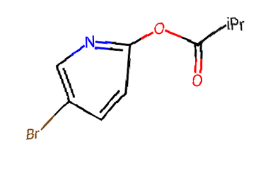 CC(C)C(=O)Oc1ccc(Br)cn1